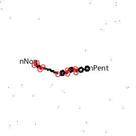 CCCCCCCCCOC(=O)CCC(=O)OCCCCCCCCOc1ccc(C(=O)Oc2ccc(OC(=O)C3CCC(C4CCC(CCCCC)CC4)CC3)cc2)cc1